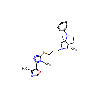 Cc1ncoc1-c1nnc(SCCCN2C[C@H]3N(c4ccccc4)CC[C@@]3(C)C2)n1C